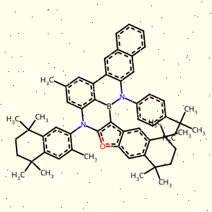 Cc1cc2c3c(c1)N(c1cc4c(cc1C)C(C)(C)CCC4(C)C)c1oc4cc5c(cc4c1B3N(c1ccc(C(C)(C)C)cc1)c1cc3ccccc3cc1-2)C(C)(C)CCC5(C)C